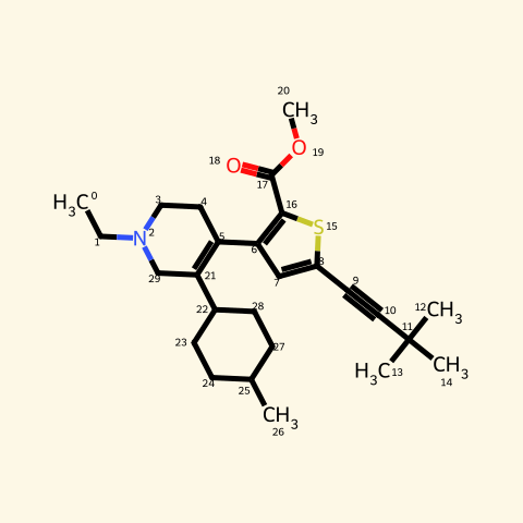 CCN1CCC(c2cc(C#CC(C)(C)C)sc2C(=O)OC)=C(C2CCC(C)CC2)C1